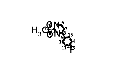 CS(=O)(=O)c1nccc(-c2ccc(F)cc2)n1